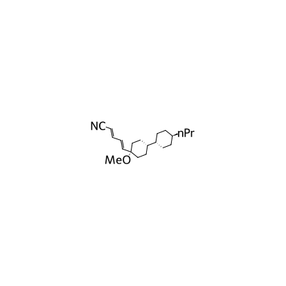 CCC[C@H]1CC[C@H]([C@H]2CC[C@@](C=CC=CC#N)(OC)CC2)CC1